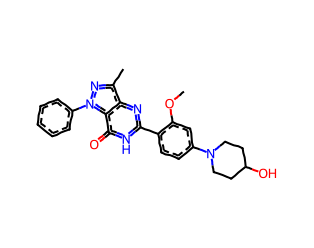 COc1cc(N2CCC(O)CC2)ccc1-c1nc2c(C)nn(-c3ccccc3)c2c(=O)[nH]1